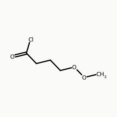 COOCCCC(=O)Cl